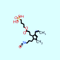 C=C1C=C(/C=C\C)C(CCC(=O)OCCCCP(=O)(O)O)C1CCCN=C=O